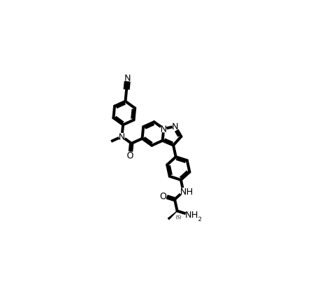 C[C@H](N)C(=O)Nc1ccc(-c2cnn3ccc(C(=O)N(C)c4ccc(C#N)cc4)cc23)cc1